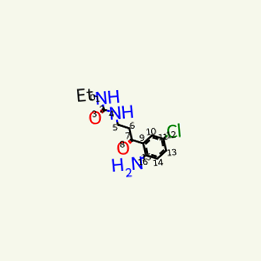 CCNC(=O)NCCC(=O)c1cc(Cl)ccc1N